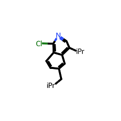 CC(C)Cc1ccc2c(Cl)ncc(C(C)C)c2c1